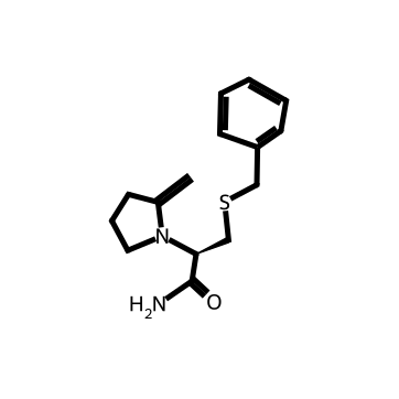 C=C1CCCN1[C@@H](CSCc1ccccc1)C(N)=O